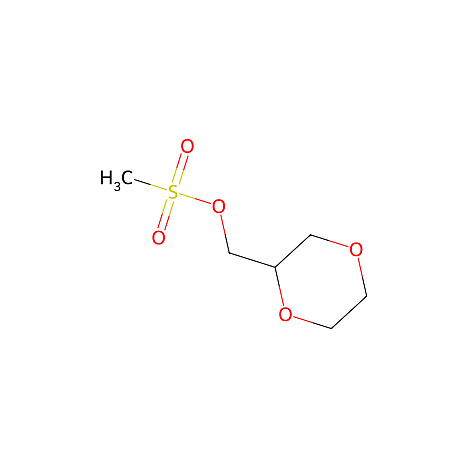 CS(=O)(=O)OCC1COCCO1